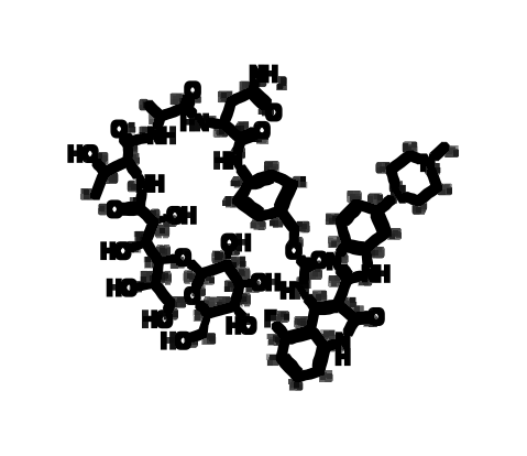 CC(NC(=O)C(NC(=O)[C@H](O)[C@H](O)[C@@H](O[C@@H]1O[C@H](CO)[C@H](O)[C@H](O)[C@H]1O)[C@H](O)CO)C(C)O)C(=O)NC(CC(N)=O)C(=O)Nc1ccc(COC(=O)Nc2c(-c3nc4ccc(N5CCN(C)CC5)cc4[nH]3)c(=O)[nH]c3cccc(F)c23)cc1